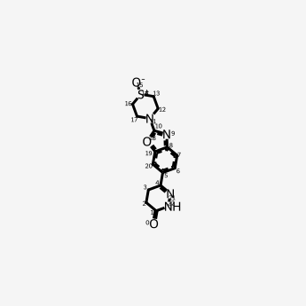 O=C1CCC(c2ccc3nc(N4CC[S+]([O-])CC4)oc3c2)=NN1